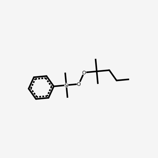 CCCC(C)(C)OO[Si](C)(C)c1ccccc1